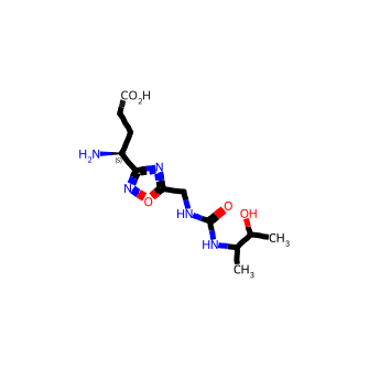 CC(O)C(C)NC(=O)NCc1nc([C@@H](N)CCC(=O)O)no1